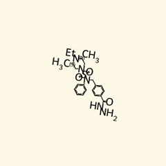 CCN1[C@H](C)CN(S(=O)(=O)N(Cc2ccc(C(=O)NN)cc2)c2ccccc2)C[C@@H]1C